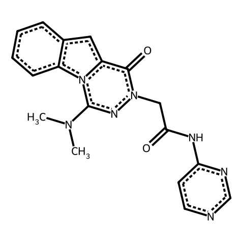 CN(C)c1nn(CC(=O)Nc2ccncn2)c(=O)c2cc3ccccc3n12